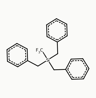 FC(F)(F)[Si](Cc1ccccc1)(Cc1ccccc1)Cc1ccccc1